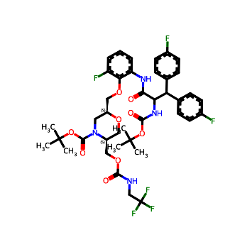 CC(C)(C)OC(=O)NC(C(=O)Nc1cccc(F)c1OC[C@@H]1CN(C(=O)OC(C)(C)C)[C@H](COC(=O)NCC(F)(F)F)CO1)C(c1ccc(F)cc1)c1ccc(F)cc1